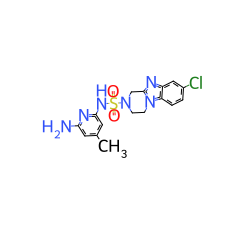 Cc1cc(N)nc(NS(=O)(=O)N2CCn3c(nc4cc(Cl)ccc43)C2)c1